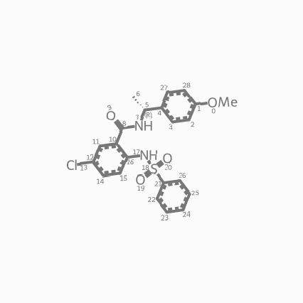 COc1ccc([C@@H](C)NC(=O)c2cc(Cl)ccc2NS(=O)(=O)c2ccccc2)cc1